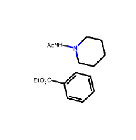 CC(=O)NN1CCCCC1.CCOC(=O)c1ccccc1